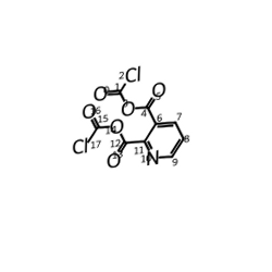 O=C(Cl)OC(=O)c1cccnc1C(=O)OC(=O)Cl